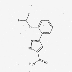 NC(=O)c1cc(-c2ccccc2OC(F)F)n[nH]1